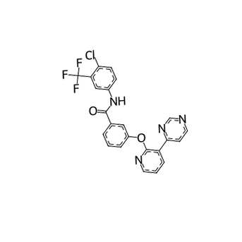 O=C(Nc1ccc(Cl)c(C(F)(F)F)c1)c1cccc(Oc2ncccc2-c2ccncn2)c1